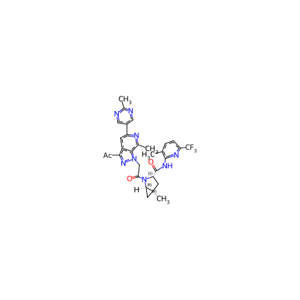 CC(=O)c1nn(CC(=O)N2[C@H](C(=O)Nc3nc(C(F)(F)F)ccc3C)C[C@@]3(C)C[C@@H]23)c2c(C)nc(-c3cnc(C)nc3)cc12